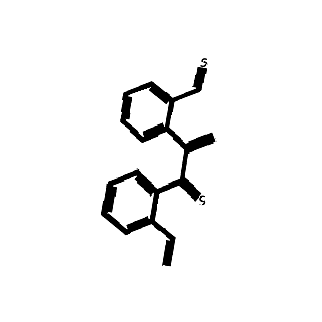 C=Cc1ccccc1C(=S)C(=C)c1ccccc1C=S